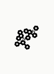 c1ccc(-c2cc(-c3ccccc3)cc(N(c3cccc(-c4c5ccccc5cc5c4c4ccccc4n5-c4ccccc4)c3)c3cc4ccccc4c4ccccc34)c2)cc1